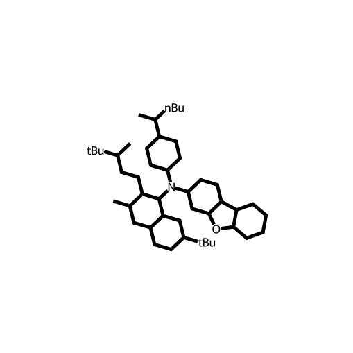 CCCCC(C)C1CCC(N(C2CCC3C(C2)OC2CCCCC23)C2C(CCC(C)C(C)(C)C)C(C)CC3CCC(C(C)(C)C)CC32)CC1